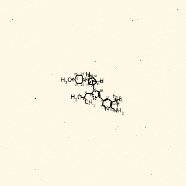 CC(C)Cc1nc(-c2cnc(N)c(C(F)(F)F)c2)cn1[C@]12C3[C@@H](N4CCN(C)CC4)C[C@@H]1[C@H]32